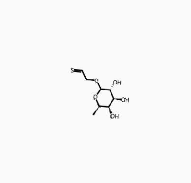 C[C@H]1OC(OCC=S)[C@H](O)[C@@H](O)[C@H]1O